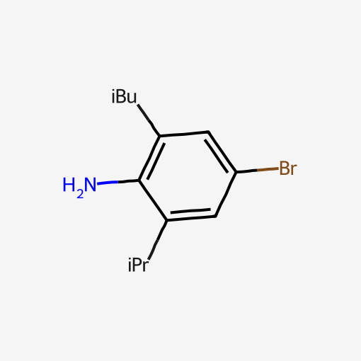 CCC(C)c1cc(Br)cc(C(C)C)c1N